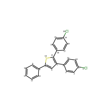 Clc1ccc(-c2cc(-c3ccccc3)sc2-c2ccc(Cl)cc2)cc1